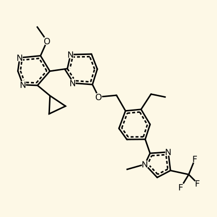 CCc1cc(-c2nc(C(F)(F)F)cn2C)ccc1COc1ccnc(-c2c(OC)ncnc2C2CC2)n1